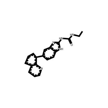 CCNC(=O)Nc1nc2cc(-c3cccc4cccnc34)ccc2[nH]1